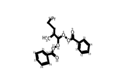 CC(C)CCC(C)C(OOC(=O)c1ccccc1)OOC(=O)c1ccccc1